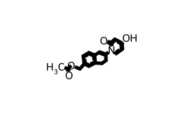 CC(=O)OCc1ccc2c(c1)CCC(n1ccc(O)cc1=O)=C2